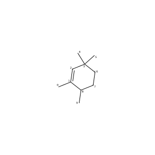 CC1=CC(C)(C)[CH]CC1C